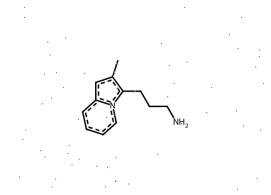 Cc1cc2ccccn2c1CCCN